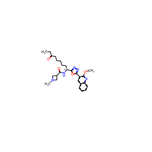 CCC(=O)CCCCC[C@H](NC(=O)C1CN(C)C1)c1nnc(-c2cc3ccccc3nc2OC)o1